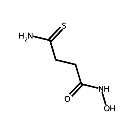 NC(=S)CCC(=O)NO